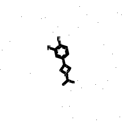 CC(C)N1CC(c2ccc(F)c(F)c2)C1